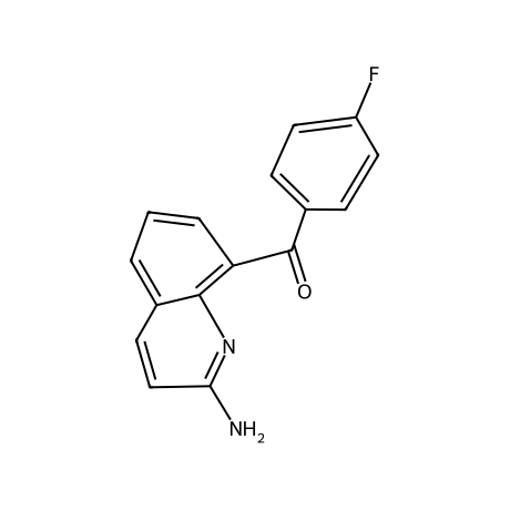 Nc1ccc2cccc(C(=O)c3ccc(F)cc3)c2n1